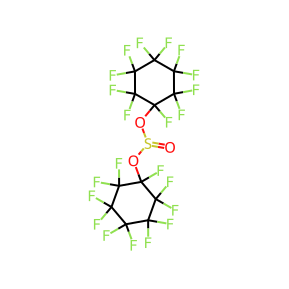 O=S(OC1(F)C(F)(F)C(F)(F)C(F)(F)C(F)(F)C1(F)F)OC1(F)C(F)(F)C(F)(F)C(F)(F)C(F)(F)C1(F)F